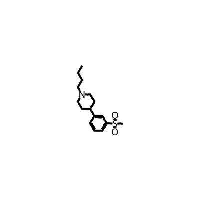 CCCCN1CCC(c2cccc(S(C)(=O)=O)c2)CC1